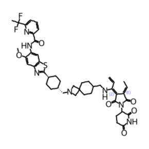 C=C/C(NCC1CCC2(CC1)CN(C[C@H]1CC[C@H](c3nc4cc(OC)c(NC(=O)c5cccc(C(C)(F)F)n5)cc4s3)CC1)C2)=C1/C(=O)N(C2CCC(=O)NC2=O)C(=O)/C1=C/C